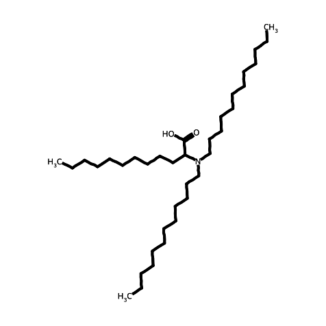 CCCCCCCCCCCCN(CCCCCCCCCCCC)C(CCCCCCCCCC)C(=O)O